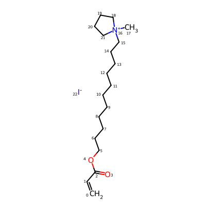 C=CC(=O)OCCCCCCCCCCC[N+]1(C)CCCC1.[I-]